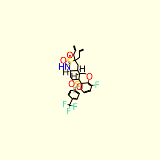 C=CCC1(CC=C)C[C@@H]2[C@@H](CC[C@@]3(S(=O)(=O)c4ccc(C(F)(F)F)cc4)c4c(F)ccc(F)c4OC[C@@H]23)NS1(=O)=O